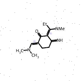 CC/C(NC)=C1/C(=N)CC/C(=C\N(C)C)C1=O